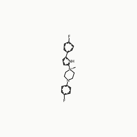 C[N+]1(c2ccc(-c3ccc(F)cc3)[nH]2)CCN(c2ccc(F)cc2)CC1